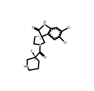 O=C(N1CC[C@]2(C1)C(=O)Nc1cc(Cl)c(Cl)cc12)[C@]1(F)CCCNC1